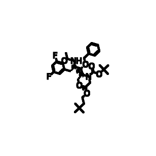 CC(=O)N[C@@H](Cc1cc(F)cc(F)c1)[C@H](OCc1ccccc1)[C@H]1CO[C@@H](OCCC(C)(C)C)CN1C(=O)OC(C)(C)C